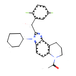 COC(=O)N1c2ccc3c(nc([C@H](O)c4cc(F)ccc4F)n3[C@@H]3CCC[C@@H](C(=O)O)C3)c2CC[C@@H]1C